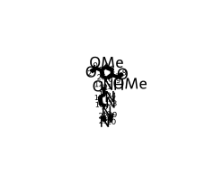 COC(=O)c1ccc(C(=O)OC)c(NC(=O)c2ccc(-n3ccnc3)nn2)c1